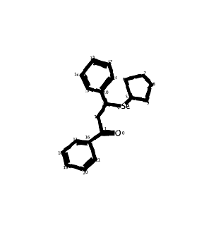 O=C(CC([Se]C1CCCC1)c1ccccc1)c1ccccc1